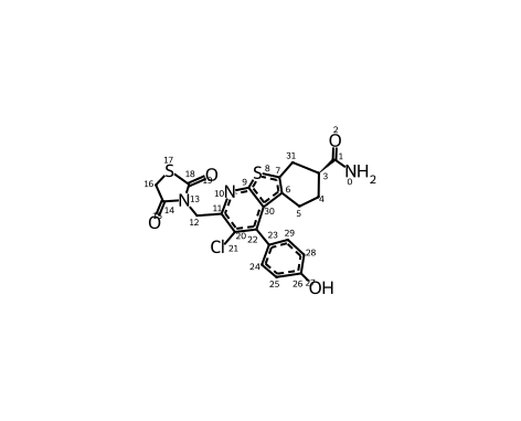 NC(=O)[C@H]1CCc2c(sc3nc(CN4C(=O)CSC4=O)c(Cl)c(-c4ccc(O)cc4)c23)C1